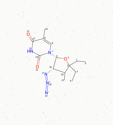 CCC1(CC)O[C@@H](n2cc(C)c(=O)[nH]c2=O)[C@@H](N=[N+]=[N-])C1C